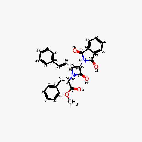 COC(=O)[C@H](Cc1ccccc1)N1C(=O)[C@@H](N2C(=O)c3ccccc3C2=O)[C@H]1C=Cc1ccccc1